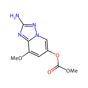 COC(=O)Oc1cc(OC)c2nc(N)nn2c1